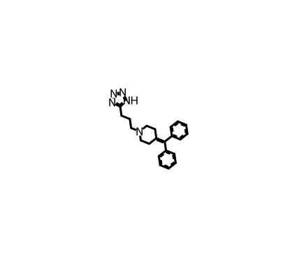 c1ccc(C(=C2CCN(CCCc3nnn[nH]3)CC2)c2ccccc2)cc1